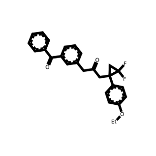 CCOc1ccc(C2(CC(=O)Cc3cccc(C(=O)c4ccccc4)c3)CC2(F)F)cc1